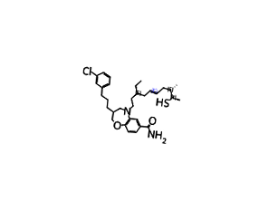 CC[C@@H](C/C=C/C[C@H](C)[C@@H](C)S)CCN1CC(CCCc2cccc(Cl)c2)COc2ccc(C(N)=O)cc21